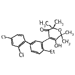 CCc1ccc(-c2ccc(Cl)cc2Cl)cc1C1=C(O)C(C)(C)OC(C)(C)C1=O